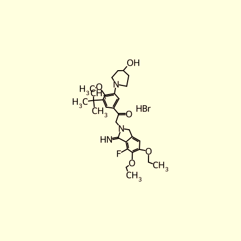 Br.CCOc1cc2c(c(F)c1OCC)C(=N)N(CC(=O)c1cc(N3CCC(O)CC3)c(OC)c(C(C)(C)C)c1)C2